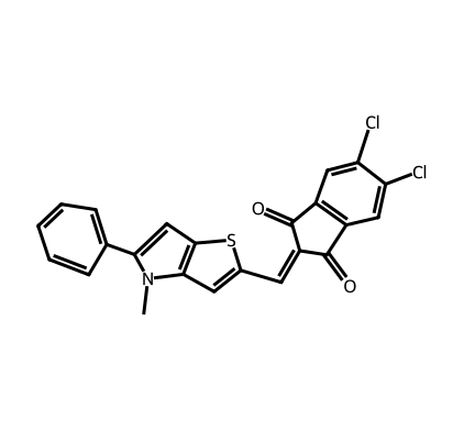 Cn1c(-c2ccccc2)cc2sc(C=C3C(=O)c4cc(Cl)c(Cl)cc4C3=O)cc21